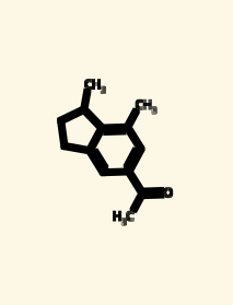 CC(=O)c1cc(C)c2c(c1)CCC2C